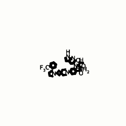 NC(=O)c1ccc(N2CCC3(CC2)CC(N2CCC[C@H]2c2ccccc2C(F)(F)F)C3)cc1N1c2cc3cc[nH]c3nc2O[C@H]2COC[C@@H]21